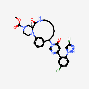 COC(=O)N1CCN2c3cccc(c3)C(n3cnc(-c4cc(Cl)ccc4-n4cc(Cl)nn4)cc3=O)CCCCCNC(=O)[C@H]2C1